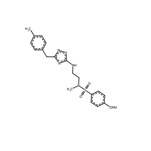 COc1ccc(S(=O)(=O)N(C)CCNc2nc(Cc3ccc(C)cc3)ns2)cc1